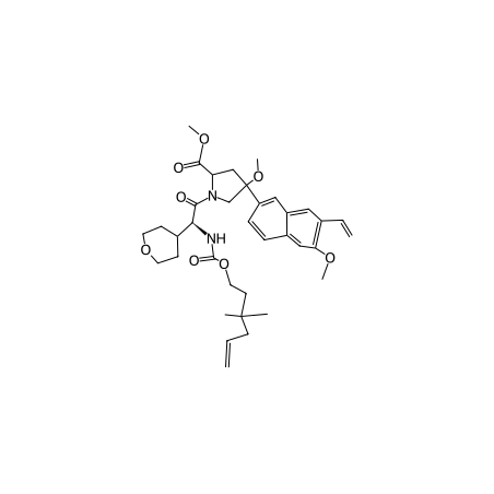 C=CCC(C)(C)CCOC(=O)N[C@H](C(=O)N1CC(OC)(c2ccc3cc(OC)c(C=C)cc3c2)CC1C(=O)OC)C1CCOCC1